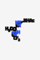 CC(=O)NCCCNc1ncc(-c2cc(C)cc(Nc3nccc(C(F)(F)F)n3)c2)cn1